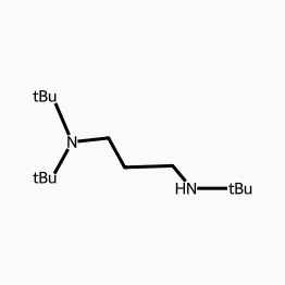 CC(C)(C)NCCCN(C(C)(C)C)C(C)(C)C